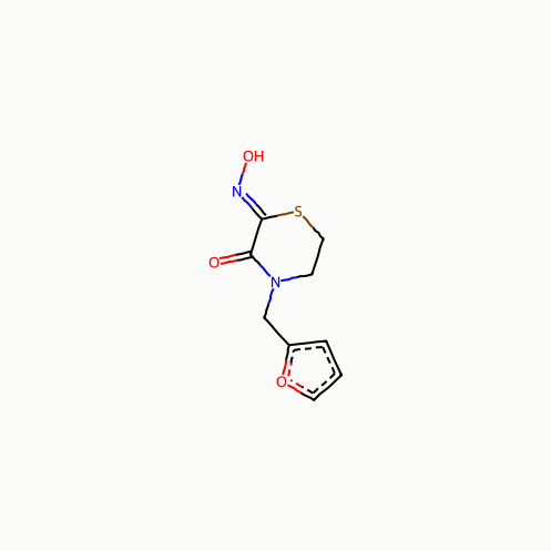 O=C1/C(=N/O)SCCN1Cc1ccco1